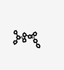 c1ccc(-c2ccc(-n3c4ccccc4c4cc(-c5cccc6c5c5ccccc5n6-c5cc(-c6ccccc6)cc(-c6ccccc6)c5)ccc43)cc2)cc1